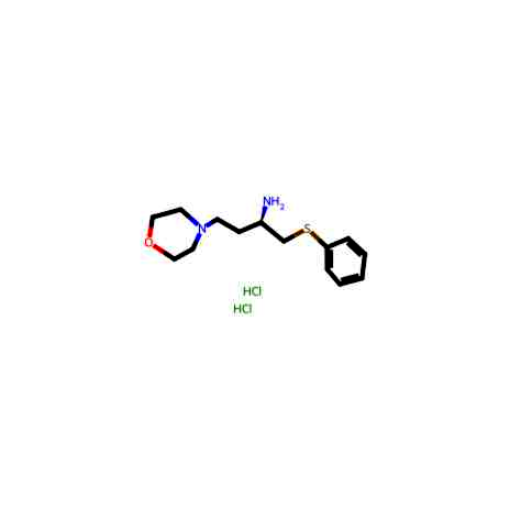 Cl.Cl.N[C@H](CCN1CCOCC1)CSc1ccccc1